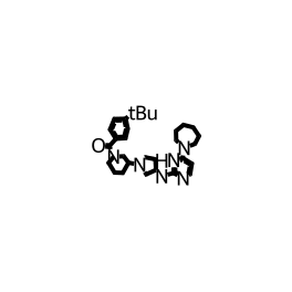 CC(C)(C)c1ccc(C(=O)N2CCCC(N3CCC(Nc4nccc(N5CCCCCC5)n4)C3)C2)cc1